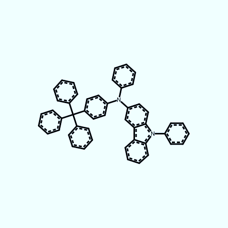 c1ccc(N(c2ccc(C(c3ccccc3)(c3ccccc3)c3ccccc3)cc2)c2ccc3c(c2)c2ccccc2n3-c2ccccc2)cc1